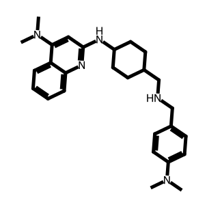 CN(C)c1ccc(CNCC2CCC(Nc3cc(N(C)C)c4ccccc4n3)CC2)cc1